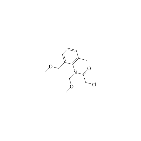 COCc1cccc(C)c1N(COC)C(=O)CCl